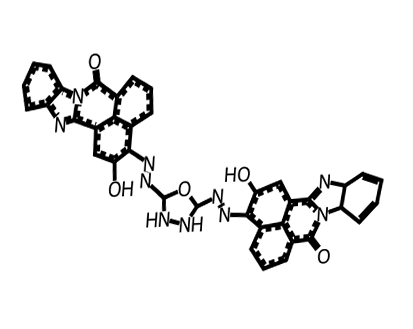 O=c1c2cccc3c(N=NC4NNC(N=Nc5c(O)cc6c7c5cccc7c(=O)n5c7ccccc7nc65)O4)c(O)cc(c4n1C1C=CC=CC1N=4)c32